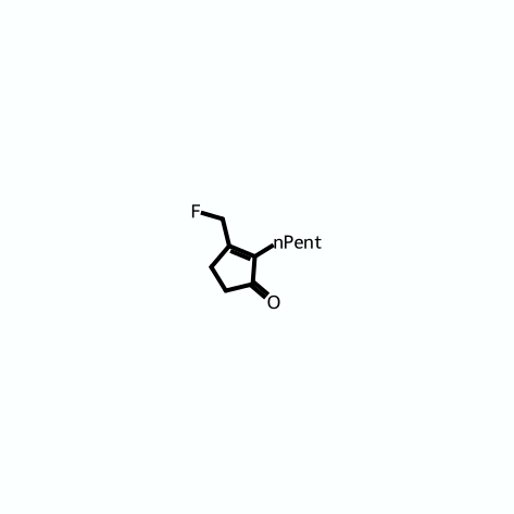 CCCCCC1=C(CF)CCC1=O